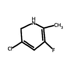 CC1=C(F)C=C(Cl)CN1